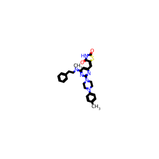 Cc1ccc(N2CCN(c3nc(/C=C4/SC(=O)NC4=O)cc(N(C)CCc4ccccc4)n3)CC2)cc1